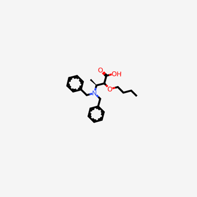 CCCCOC(C(=O)O)[C@H](C)N(Cc1ccccc1)Cc1ccccc1